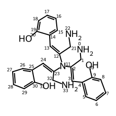 NC/C(=C\c1ccccc1O)N(/C(=C/c1ccccc1O)CN)/C(=C/c1ccccc1O)CN